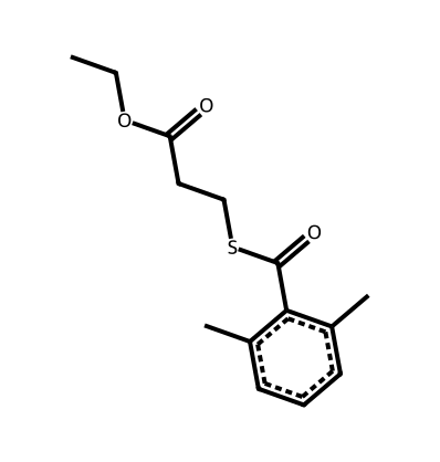 CCOC(=O)CCSC(=O)c1c(C)cccc1C